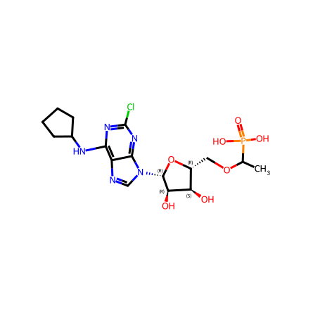 CC(OC[C@H]1O[C@@H](n2cnc3c(NC4CCCC4)nc(Cl)nc32)[C@H](O)[C@@H]1O)P(=O)(O)O